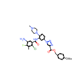 COc1ccc(COC(=O)c2cn(-c3ccc(N4CCN(C)CC4)c(NC(=O)c4cc(N)c(F)c(C)c4Cl)c3)nn2)cc1